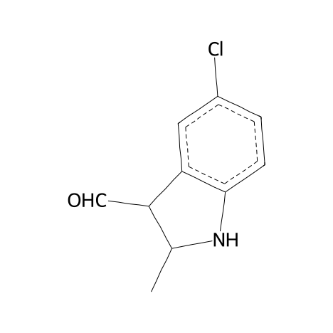 CC1Nc2ccc(Cl)cc2C1C=O